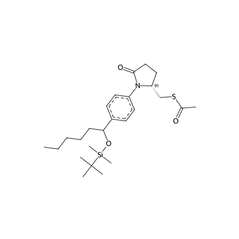 CCCCCC(O[Si](C)(C)C(C)(C)C)c1ccc(N2C(=O)CC[C@@H]2CSC(C)=O)cc1